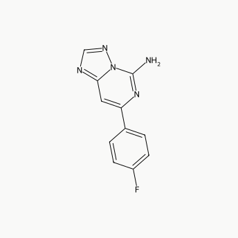 Nc1nc(-c2ccc(F)cc2)cc2ncnn12